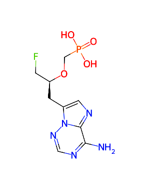 Nc1ncnn2c(C[C@@H](CF)OCP(=O)(O)O)cnc12